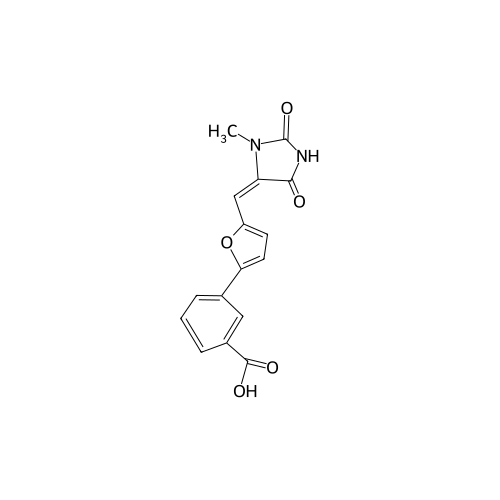 CN1C(=O)NC(=O)/C1=C\c1ccc(-c2cccc(C(=O)O)c2)o1